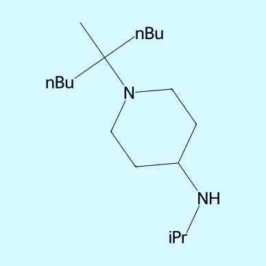 CCCCC(C)(CCCC)N1CCC(NC(C)C)CC1